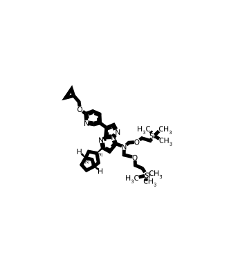 C[Si](C)(C)CCOCN(COCC[Si](C)(C)C)c1cc([C@H]2C[C@@H]3CC[C@@H](C3)C2)nc2c(-c3ccc(OCC4CC4)nc3)cnn12